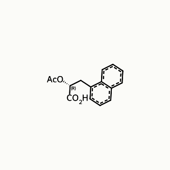 CC(=O)O[C@H](Cc1cccc2ccccc12)C(=O)O